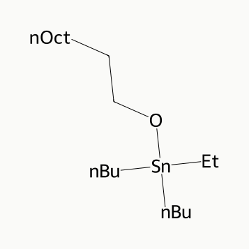 CCCCCCCCCC[O][Sn]([CH2]C)([CH2]CCC)[CH2]CCC